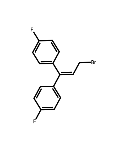 Fc1ccc(C(=CCBr)c2ccc(F)cc2)cc1